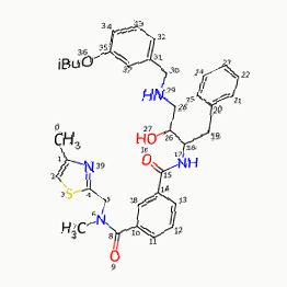 Cc1csc(CN(C)C(=O)c2cccc(C(=O)NC(Cc3ccccc3)C(O)CNCc3cccc(OCC(C)C)c3)c2)n1